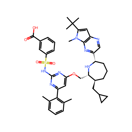 Cc1cccc(C)c1-c1cc(OC[C@@H]2N[C@H](c3cnc4cc(C(C)(C)C)n(C)c4n3)CCC[C@H]2CC2CC2)nc(NS(=O)(=O)c2cccc(C(=O)O)c2)n1